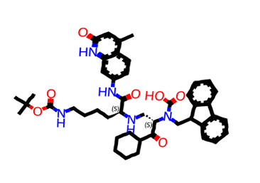 Cc1cc(=O)[nH]c2cc(NC(=O)[C@H](CCCCNC(=O)OC(C)(C)C)NC[C@@H](C(=O)C3CCCCC3)N(CC3c4ccccc4-c4ccccc43)C(=O)O)ccc12